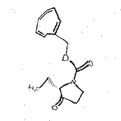 CC[C@H]1C(=O)CCN1C(=O)OCc1ccccc1